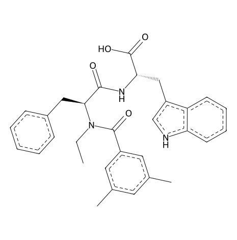 CCN(C(=O)c1cc(C)cc(C)c1)[C@@H](Cc1ccccc1)C(=O)N[C@@H](Cc1c[nH]c2ccccc12)C(=O)O